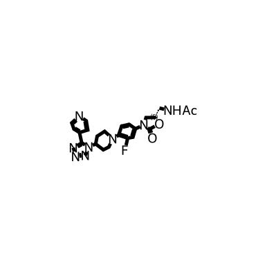 CC(=O)NC[C@H]1CN(c2ccc(N3CCC(n4nnnc4-c4ccncc4)CC3)c(F)c2)C(=O)O1